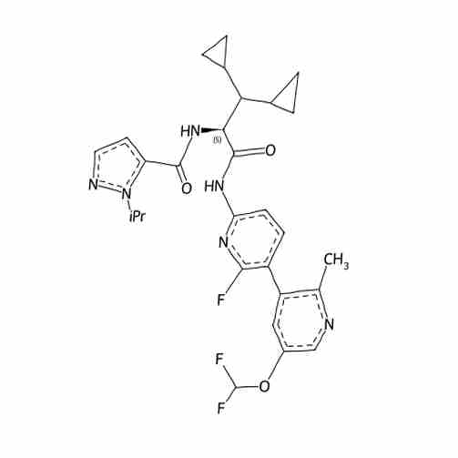 Cc1ncc(OC(F)F)cc1-c1ccc(NC(=O)[C@@H](NC(=O)c2ccnn2C(C)C)C(C2CC2)C2CC2)nc1F